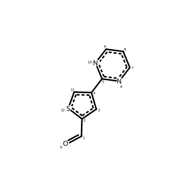 O=Cc1cc(-c2ncccn2)cs1